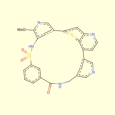 COc1ncc2cc1NS(=O)(=O)c1cccc(c1)C(=O)NCc1cncc(c1)-c1ccnc3cc-2sc13